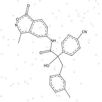 Cc1cccc(CC(O)(C(=O)Nc2ccc3c(=O)onc(C)c3c2)c2ccc(C#N)cc2)c1